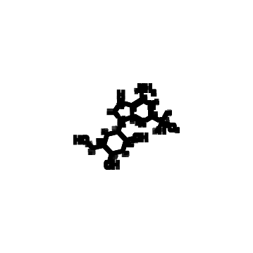 C[SH](C)(=O)c1nc(N)c2c(n1)N(C1CC(CO)C(O)CC1O)CN2